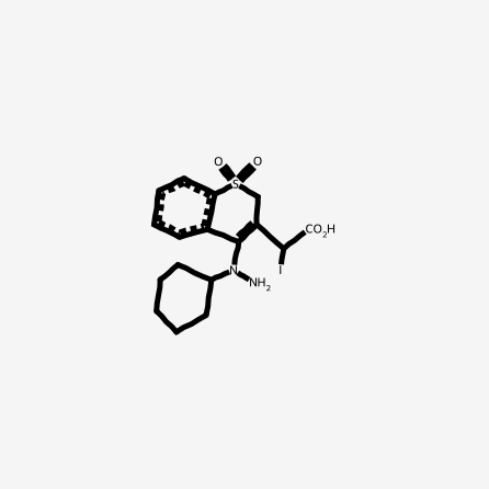 NN(C1=C(C(I)C(=O)O)CS(=O)(=O)c2ccccc21)C1CCCCC1